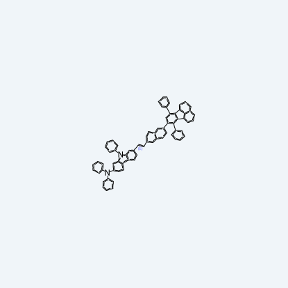 C(=C\c1ccc2c3ccc(N(c4ccccc4)c4ccccc4)cc3n(-c3ccccc3)c2c1)/c1ccc2cc(-c3cc(-c4ccccc4)c4c(c3-c3ccccc3)-c3cccc5cccc-4c35)ccc2c1